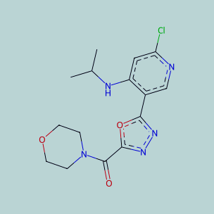 CC(C)Nc1cc(Cl)ncc1-c1nnc(C(=O)N2CCOCC2)o1